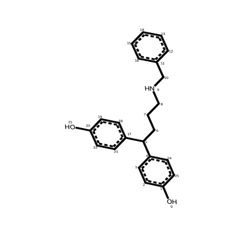 Oc1ccc(C(CCCNCc2ccccc2)c2ccc(O)cc2)cc1